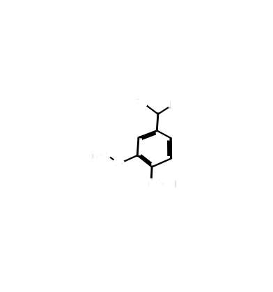 CCCOc1cc(C(CC)CC)ccc1C(=O)O